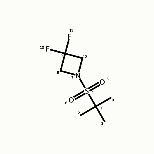 CC(C)(C)S(=O)(=O)N1CC(F)(F)C1